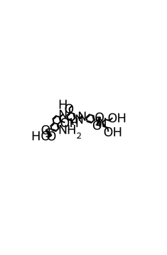 COc1cc(/N=N/c2ccc(S(=O)(=O)N(CCO)CCO)cc2)c(C)cc1Nc1ccc2cc(S(=O)(=O)O)cc(N)c2c1O